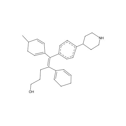 CC1C=CC(/C(=C(\CCCO)C2=CCCC=C2)c2ccc(C3CCNCC3)cc2)=CC1